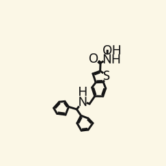 O=C(NO)c1cc2cc(CNC(c3ccccc3)c3ccccc3)ccc2s1